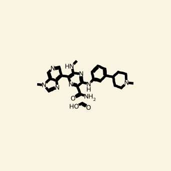 CNc1nc(Nc2cccc(C3CCN(C)CC3)c2)c(C(N)=O)nc1-c1cncc2c1ncn2C.O=CO